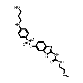 COCCNC(=O)Nc1nc2ccc(OS(=O)(=O)c3ccc(NCCCO)cc3)cc2[nH]1